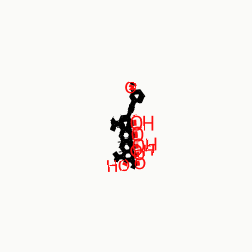 COc1cccc(C#Cc2cc(C(C)C)c3c(c2O)C(=O)C2=C(O)[C@@]4(O)C(=O)C(C(C)=O)=C(O)C(C(C)C)[C@@]4(C)C[C@@]2(C)C3)c1